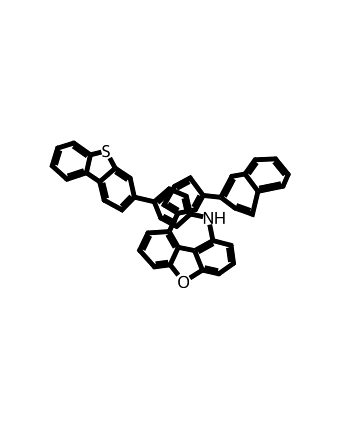 c1cc(-c2ccc3ccccc3c2)cc(-c2cccc3oc4cccc(Nc5ccc(-c6ccc7c(c6)sc6ccccc67)cc5)c4c23)c1